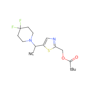 CC(C)(C)C(=O)OCc1ncc(C(C#N)N2CCC(F)(F)CC2)s1